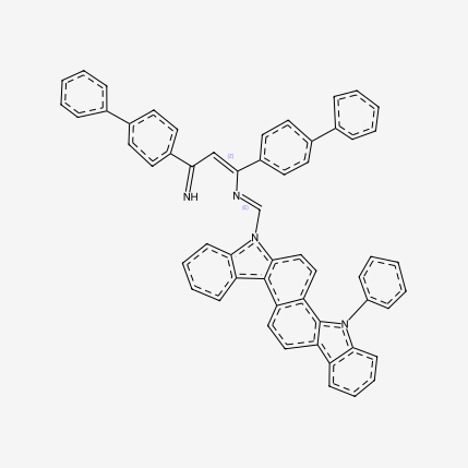 N=C(/C=C(\N=C\n1c2ccccc2c2c3ccc4c5ccccc5n(-c5ccccc5)c4c3ccc21)c1ccc(-c2ccccc2)cc1)c1ccc(-c2ccccc2)cc1